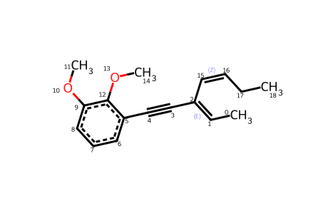 C/C=C(C#Cc1cccc(OC)c1OC)\C=C/CC